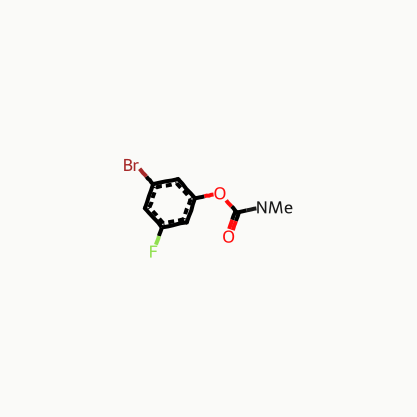 CNC(=O)Oc1cc(F)cc(Br)c1